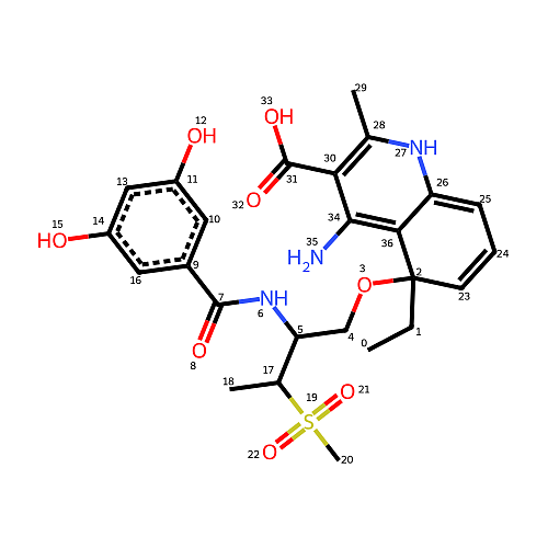 CCC1(OCC(NC(=O)c2cc(O)cc(O)c2)C(C)S(C)(=O)=O)C=CC=C2NC(C)=C(C(=O)O)C(N)=C21